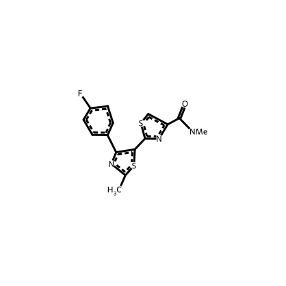 CNC(=O)c1csc(-c2sc(C)nc2-c2ccc(F)cc2)n1